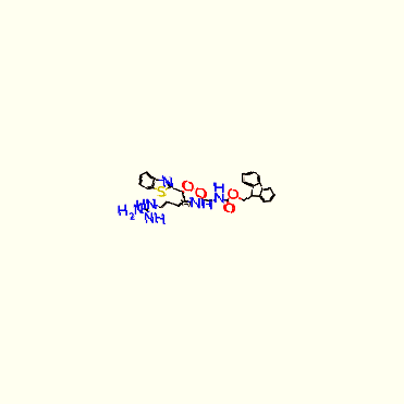 N=C(N)NCCC[C@H](NC(=O)CNC(=O)OCC1c2ccccc2-c2ccccc21)C(=O)c1nc2ccccc2s1